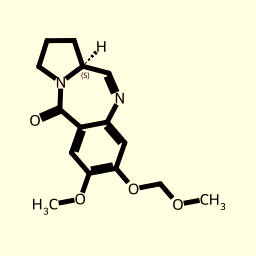 COCOc1cc2c(cc1OC)C(=O)N1CCC[C@H]1C=N2